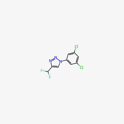 FC(F)c1cn(-c2cc(Cl)cc(Cl)c2)nn1